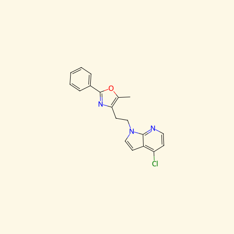 Cc1oc(-c2ccccc2)nc1CCn1ccc2c(Cl)ccnc21